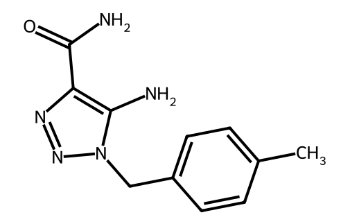 Cc1ccc(Cn2nnc(C(N)=O)c2N)cc1